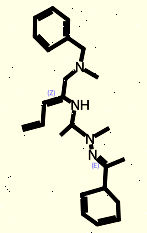 C=C/C=C(/CN(C)Cc1ccccc1)NC(C)N(C)/N=C(\C)C1C=CC=CC1